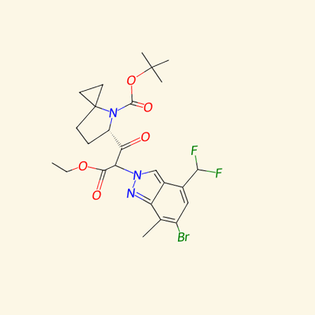 CCOC(=O)C(C(=O)[C@@H]1CCC2(CC2)N1C(=O)OC(C)(C)C)n1cc2c(C(F)F)cc(Br)c(C)c2n1